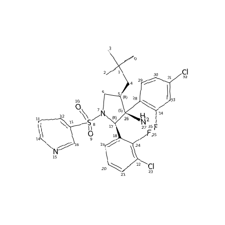 CC(C)(C)C[C@@H]1CN(S(=O)(=O)c2cccnc2)[C@H](c2cccc(Cl)c2F)[C@@]1(N)c1ccc(Cl)cc1F